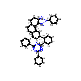 c1ccc(-c2nc(-c3ccccc3)nc(-c3ccccc3-c3ccc4ccc5ccc6nn(-c7ccccc7)nc6c5c4c3)n2)cc1